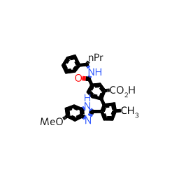 CCCC(NC(=O)c1ccc(-c2cc(C)ccc2-c2nc3cc(OC)ccc3[nH]2)c(C(=O)O)c1)c1ccccc1